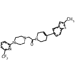 Cc1cc2cc(C3=CCN(C(=O)CN4CCN(c5cccc(C(F)(F)F)n5)CC4)CC3)ccc2s1